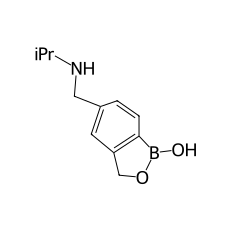 CC(C)NCc1ccc2c(c1)COB2O